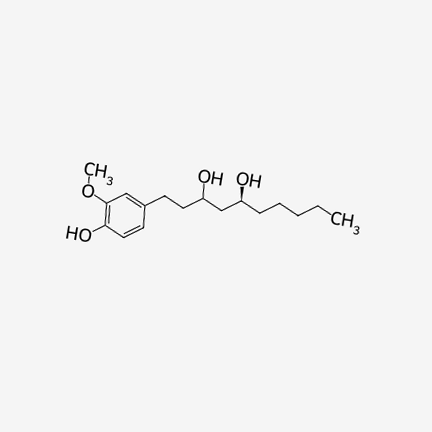 CCCCC[C@H](O)CC(O)CCc1ccc(O)c(OC)c1